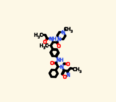 CCC(=O)N[C@@H](C(=O)N1CCN(C)CC1)[C@@H](C)c1ccc(NC(=O)[C@H](C2CCCCC2)N(C=O)c2conc2CC)cc1